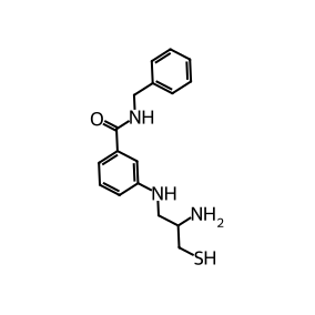 NC(CS)CNc1cccc(C(=O)NCc2ccccc2)c1